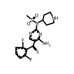 CS(=O)(=O)N(c1ncc(C(=S)c2c(F)cccc2F)c(N)n1)C1CCNCC1